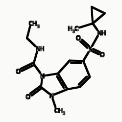 CCNC(=O)n1c(=O)n(C)c2ccc(S(=O)(=O)NC3(C)CC3)cc21